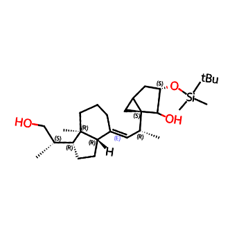 C[C@H](CO)[C@H]1CC[C@H]2/C(=C/[C@@H](C)[C@]34CC3C[C@H](O[Si](C)(C)C(C)(C)C)C4O)CCC[C@]12C